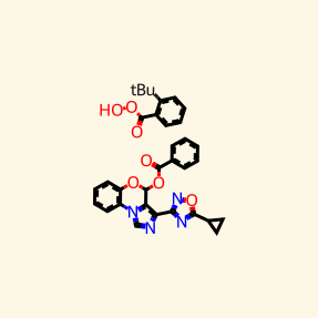 CC(C)(C)c1ccccc1C(=O)OO.O=C(OC1Oc2ccccc2-n2cnc(-c3noc(C4CC4)n3)c21)c1ccccc1